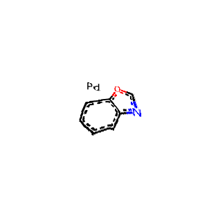 [Pd].c1ccc2ocnc2c1